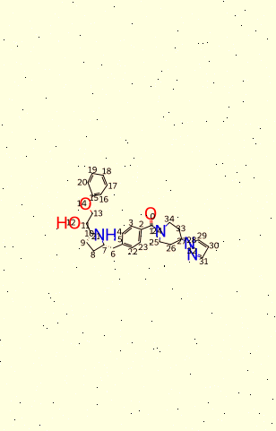 O=C(c1ccc(C[C@@H]2CC[C@H]([C@H](O)COc3ccccc3)N2)cc1)N1CCC(n2cccn2)CC1